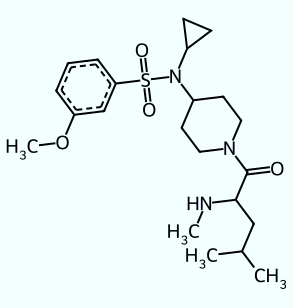 CNC(CC(C)C)C(=O)N1CCC(N(C2CC2)S(=O)(=O)c2cccc(OC)c2)CC1